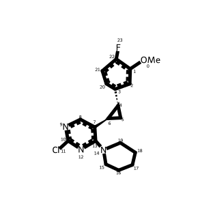 COc1cc([C@@H]2C[C@H]2c2cnc(Cl)nc2N2CCCCC2)ccc1F